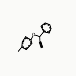 C#CC(Oc1ccc(C)cc1)c1ccccc1